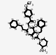 NC1CCCN(c2nc3nc(CCc4ccccc4)n(CC(=O)c4ccc(OC(F)(F)F)cc4)c(=O)c3n2Cc2ccccc2)C1